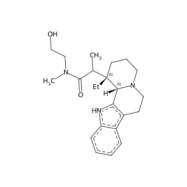 CC[C@@]1(C(C)C(=O)N(C)CCO)CCCN2CCc3c([nH]c4ccccc34)[C@@H]21